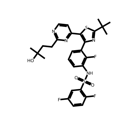 CC(C)(O)CCc1nccc(-c2sc(C(C)(C)C)nc2-c2cccc(NS(=O)(=O)c3cc(F)ccc3F)c2F)n1